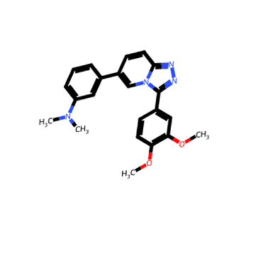 COc1ccc(-c2nnc3ccc(-c4cccc(N(C)C)c4)cn23)cc1OC